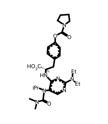 CCN(CC)c1ncc(N(C(=O)N(C)C)C(C)C)c(N[C@@H](Cc2ccc(OC(=O)N3CCCC3)cc2)C(=O)O)n1